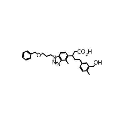 Cc1ccc(CCC(CC(=O)O)c2ccc3c(nnn3CCCOCc3ccccc3)c2C)cc1CO